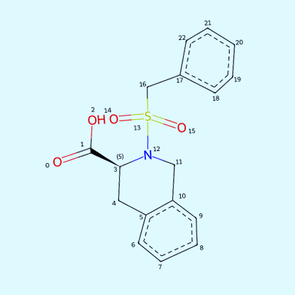 O=C(O)[C@@H]1Cc2ccccc2CN1S(=O)(=O)Cc1ccccc1